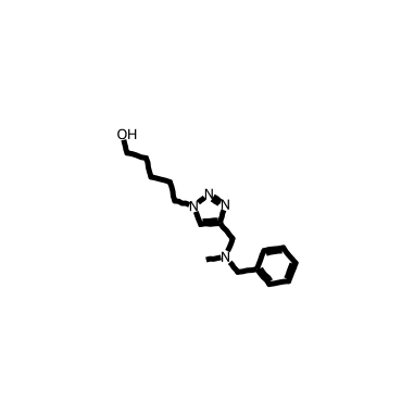 CN(Cc1ccccc1)Cc1cn(CCCCCO)nn1